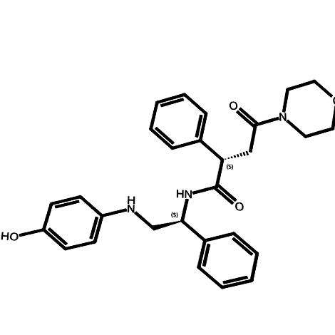 O=C(N[C@H](CNc1ccc(O)cc1)c1ccccc1)[C@@H](CC(=O)N1CCOCC1)c1ccccc1